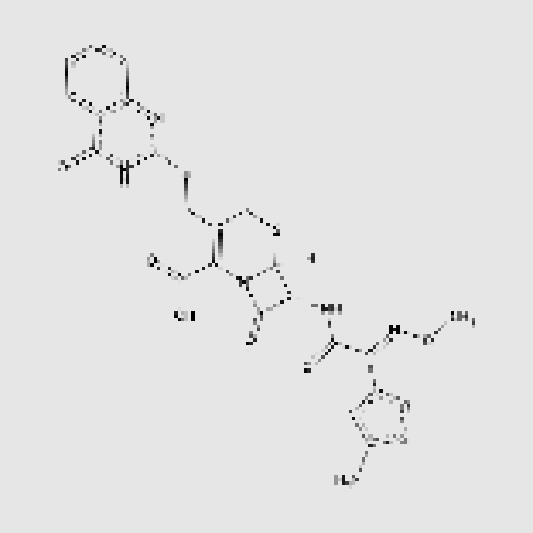 CON=C(C(=O)N[C@@H]1C(=O)N2C(C(=O)O)=C(CSc3nc4ccccc4c(=O)[nH]3)CS[C@@H]12)c1csc(N)n1